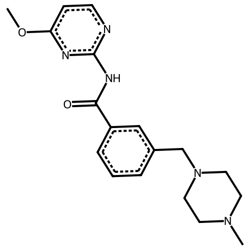 COc1ccnc(NC(=O)c2cccc(CN3CCN(C)CC3)c2)n1